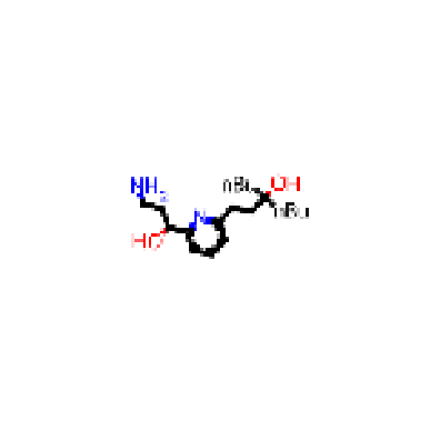 CCCCC(O)(CCCC)CCc1cccc(C(O)CCN)n1